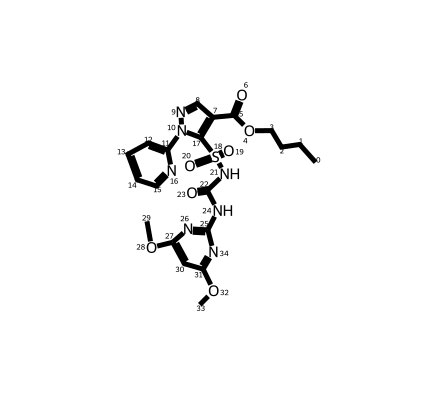 CCCCOC(=O)c1cnn(-c2ccccn2)c1S(=O)(=O)NC(=O)Nc1nc(OC)cc(OC)n1